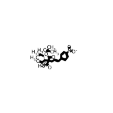 CC(C)C[C@@H](C(=O)O)C(CC=Cc1ccc([N+](=O)[O-])cc1)(C(=O)O)C(=O)OC(C)(C)C